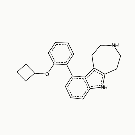 c1ccc(-c2cccc3[nH]c4c(c23)CCNCC4)c(OC2CCC2)c1